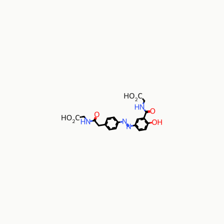 O=C(O)CNC(=O)Cc1ccc(/N=N/c2ccc(O)c(C(=O)NCC(=O)O)c2)cc1